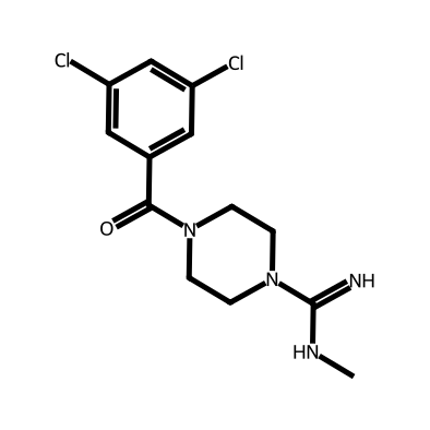 CNC(=N)N1CCN(C(=O)c2cc(Cl)cc(Cl)c2)CC1